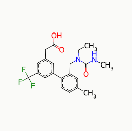 CCN(Cc1cc(C)ccc1-c1cc(CC(=O)O)cc(C(F)(F)F)c1)C(=O)NC